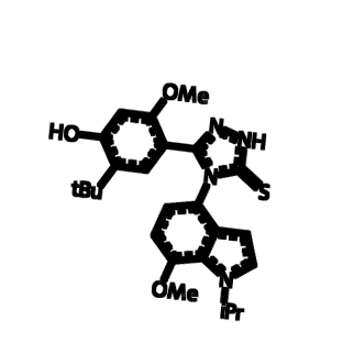 COc1cc(O)c(C(C)(C)C)cc1-c1n[nH]c(=S)n1-c1ccc(OC)c2c1ccn2C(C)C